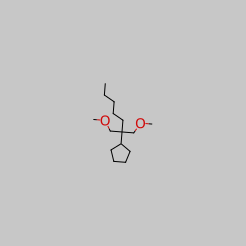 CCCCCC(COC)(COC)C1CCCC1